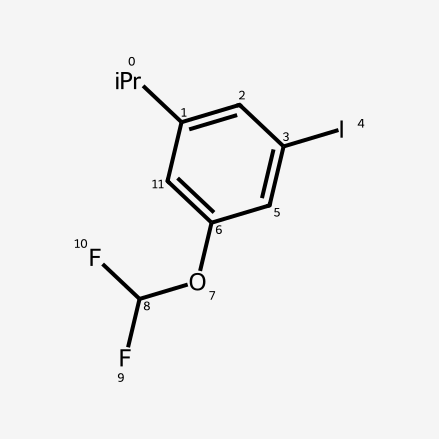 [CH2]C(C)c1cc(I)cc(OC(F)F)c1